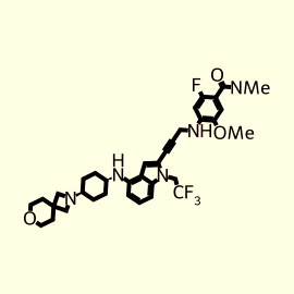 CNC(=O)c1cc(OC)c(NCC#Cc2cc3c(N[C@H]4CC[C@H](N5CC6(CCOCC6)C5)CC4)cccc3n2CC(F)(F)F)cc1F